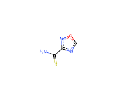 NC(=S)c1ncon1